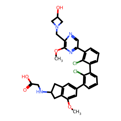 COc1cc(-c2cccc(-c3cccc(-c4cnc(CN5CC(O)C5)c(OC)n4)c3Cl)c2Cl)cc2c1CC(NCC(=O)O)C2